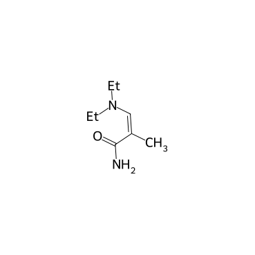 CCN(C=C(C)C(N)=O)CC